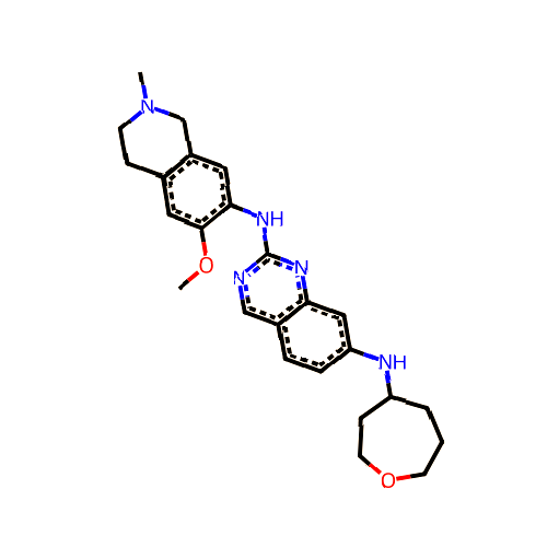 COc1cc2c(cc1Nc1ncc3ccc(NC4CCCOCC4)cc3n1)CN(C)CC2